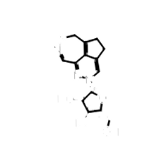 OC[C@H]1O[C@@H](N2C=C3CCC4=C3C(=N2)C=NSC4)[C@@H](O)[C@@H]1O